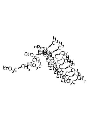 CCCCCC.CCOC(C)=O.CCOC(C)=O.CCOC(C)=O.CCOC(C)=O.CCOC(C)=O.CCOC(C)=O.CCOC(C)=O.CCOC(C)=O.CCOC(C)=O.CCOC(C)=O.CCOC(C)=O